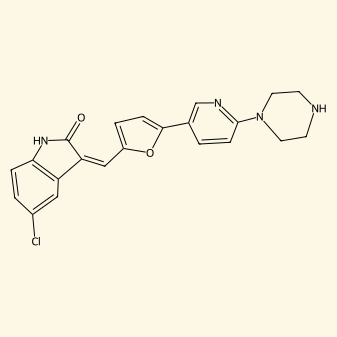 O=C1Nc2ccc(Cl)cc2/C1=C/c1ccc(-c2ccc(N3CCNCC3)nc2)o1